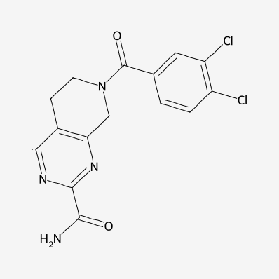 NC(=O)c1n[c]c2c(n1)CN(C(=O)c1ccc(Cl)c(Cl)c1)CC2